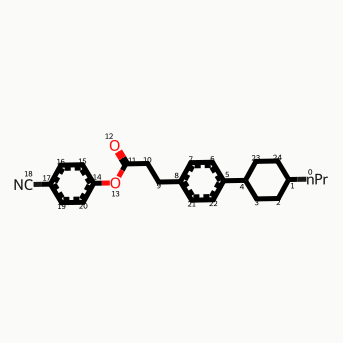 CCCC1CCC(c2ccc(CCC(=O)Oc3ccc(C#N)cc3)cc2)CC1